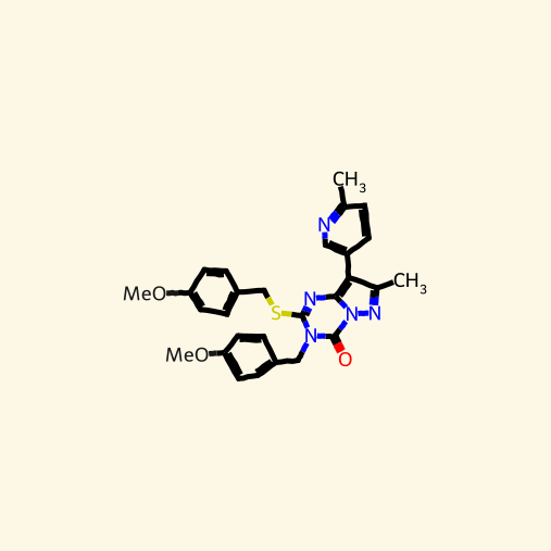 COc1ccc(CSc2nc3c(-c4ccc(C)nc4)c(C)nn3c(=O)n2Cc2ccc(OC)cc2)cc1